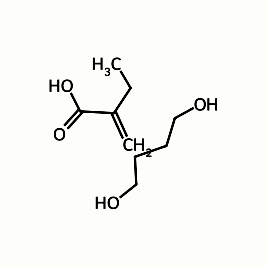 C=C(CC)C(=O)O.OCCCCO